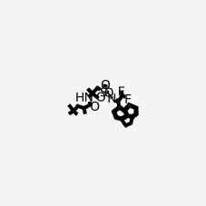 CC(CC(C)(C)C)C(=O)NC(C)(C)CS(=O)(=O)O/N=C(/c1ccc2c3c(cccc13)CC2)C(F)F